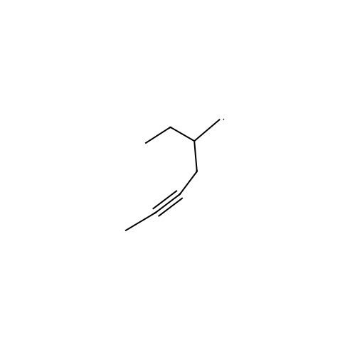 [CH2]C(CC)CC#CC